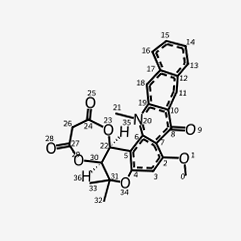 COc1cc2c(c3c1c(=O)c1cc4ccccc4cc1n3C)[C@@H]1OC(=O)CC(=O)O[C@@H]1C(C)(C)O2